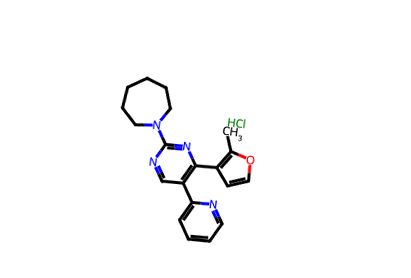 Cc1occc1-c1nc(N2CCCCCC2)ncc1-c1ccccn1.Cl